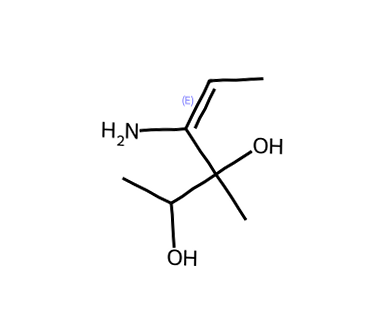 C/C=C(/N)C(C)(O)C(C)O